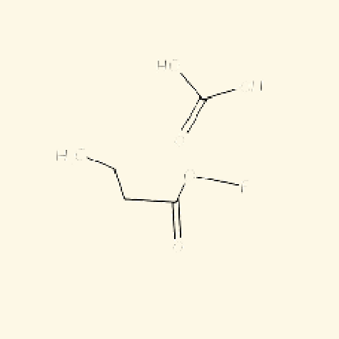 CCCC(=O)OF.O=C(O)O